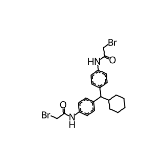 O=C(CBr)Nc1ccc(C(c2ccc(NC(=O)CBr)cc2)C2CCCCC2)cc1